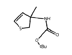 CC1(NC(=O)OC(C)(C)C)C=CSC1